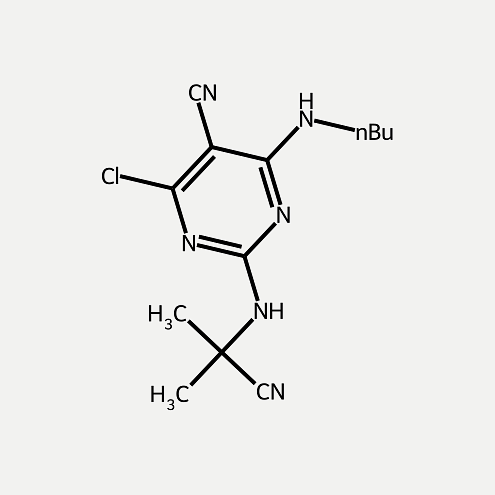 CCCCNc1nc(NC(C)(C)C#N)nc(Cl)c1C#N